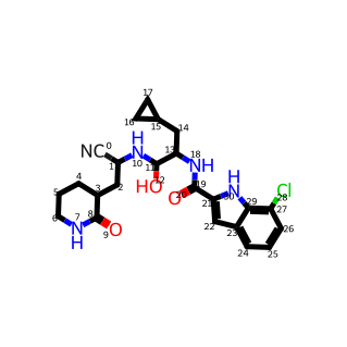 N#CC(CC1CCCNC1=O)NC(O)C(CC1CC1)NC(=O)c1cc2cccc(Cl)c2[nH]1